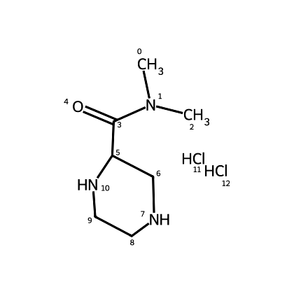 CN(C)C(=O)C1CNCCN1.Cl.Cl